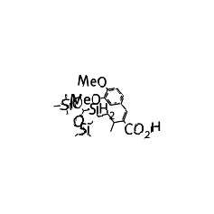 COc1ccc(C=C(C(=O)O)C(C)CC[SiH2]C(O[Si](C)(C)C)O[Si](C)(C)C)cc1OC